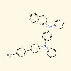 Cc1ccc(-c2ccc(N(c3ccccc3)c3ccc(N(c4ccccc4)c4ccc5ccccc5c4)cc3)cc2)cc1